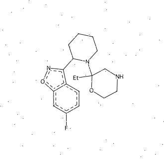 CCC1(N2CCCCC2c2noc3cc(F)ccc23)CNCCO1